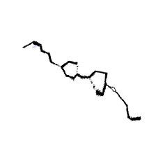 C=CCCO[C@H]1CC[C@H]([C@H]2CC[C@H](CCC/C=C\C)CC2)CC1